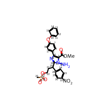 COC(=O)c1c(-c2ccc(Oc3ccccc3)cc2)nc(C(CCOS(C)(=O)=O)c2ccc([N+](=O)[O-])cc2)n1N